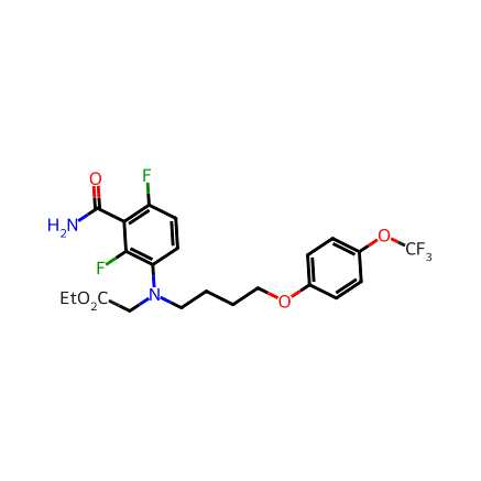 CCOC(=O)CN(CCCCOc1ccc(OC(F)(F)F)cc1)c1ccc(F)c(C(N)=O)c1F